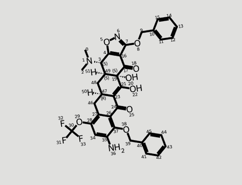 CN(C)[C@@H]1c2onc(OCc3ccccc3)c2C(=O)[C@@]2(O)C(O)=C3C(=O)c4c(c(OC(F)(F)F)cc(N)c4OCc4ccccc4)C[C@H]3C[C@@H]12